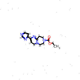 CCOC(=O)N1CCC2=NC(c3ccncn3)=CCN2CC1